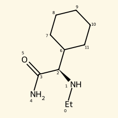 CCN[C@@H](C(N)=O)C1CCCCC1